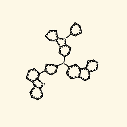 c1ccc(-n2c3ccccc3c3cc(N(c4ccc(-c5cccc6c5oc5ccccc56)cc4)c4ccc5ccc6ccccc6c5c4)ccc32)cc1